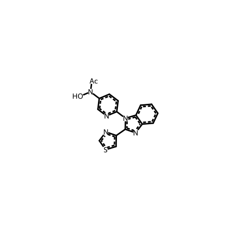 CC(=O)N(O)c1ccc(-n2c(-c3cscn3)nc3ccccc32)nc1